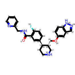 O=C(NCc1ccccn1)c1cc([C@@H]2CCNC[C@H]2COc2ccc3[nH]ncc3c2)ccc1F